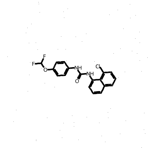 O=C(Nc1ccc(OC(F)F)cc1)Nc1cccc2cccc(Cl)c12